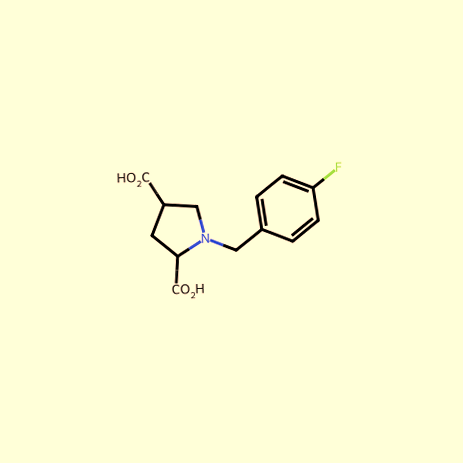 O=C(O)C1CC(C(=O)O)N(Cc2ccc(F)cc2)C1